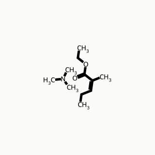 CCC=C(C)C(=O)OCC.CN(C)C